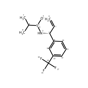 C=C[C@@H](N[S+]([O-])C(C)C)c1cccc(C(F)(F)F)c1